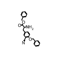 N#Cc1cc(CC(N)C(=O)OCc2ccccc2)ccc1OCc1ccccc1